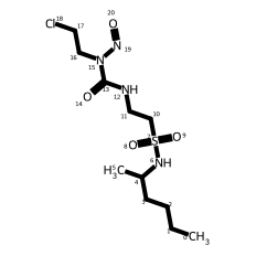 CCCCC(C)NS(=O)(=O)CCNC(=O)N(CCCl)N=O